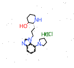 Cl.Cl.O[C@H]1CCCN[C@@H]1CCCn1cnc2cccc(N3CCCC3)c21